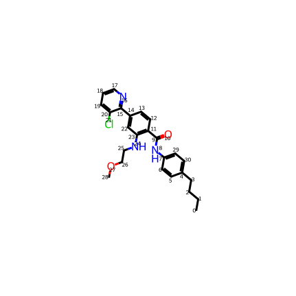 CCCCc1ccc(NC(=O)c2ccc(-c3ncccc3Cl)cc2NCCOC)cc1